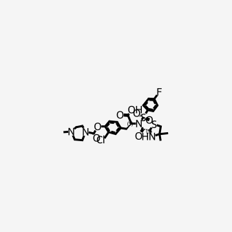 CN1CCN(C(=O)Oc2ccc(C[C@@H](C(=O)O)N(C(=O)[C@H]3NC(C)(C)CS3)S(=O)(=O)c3ccc(F)cc3)cc2Cl)CC1